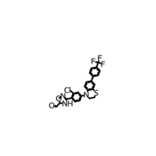 O=CC1NC(c2ccc(N3CCSc4cc(-c5ccc(C(F)(F)F)cc5)ccc43)cc2Cl)=NO1